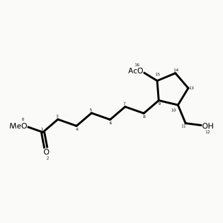 COC(=O)CCCCCCC1C(CO)CCC1OC(C)=O